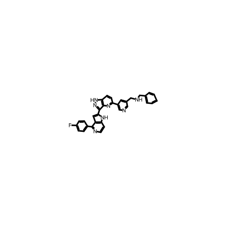 Fc1ccc(-c2nccc3[nH]c(-c4n[nH]c5ccc(-c6cncc(CNCc7ccccc7)c6)nc45)cc23)cc1